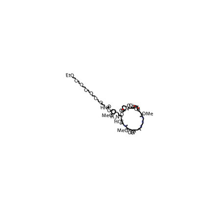 CCOCCOCCOCCOCCOCCOCCOCCNC(=O)O[C@@H]1CC[C@@H](C[C@@H](N)[C@@H]2C[C@@H](O)[C@H](C)/C=C(\C)[C@@H](OC)[C@@H](O)C(=O)[C@H](C)C[C@H](C)/C=C/C=C/C=C(\C)[C@@H](OC)C[C@@H]3CC[C@@H](C)[C@@](O)(O3)C(=O)C(=O)N3CCCC[C@H]3C(=O)O2)C[C@H]1OC